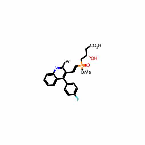 COP(=O)(/C=C/c1c(C(C)C)nc2ccccc2c1-c1ccc(F)cc1)C[C@@H](O)CC(=O)O